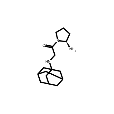 N[C@@H]1CCCN1C(=O)CNC12CC3CC(CC(C3)C1)C2